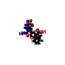 CNC(=O)C1c2cnn(S(C)(=O)=O)c2CN1[C@H]1CO[C@H](c2cc(F)ccc2F)[C@@H](N(C(=O)O)C(C)(C)C)C1